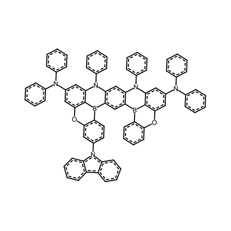 c1ccc(N(c2ccccc2)c2cc3c4c(c2)N(c2ccccc2)c2cc5c(cc2B4c2ccccc2O3)B2c3ccc(-n4c6ccccc6c6ccccc64)cc3Oc3cc(N(c4ccccc4)c4ccccc4)cc(c32)N5c2ccccc2)cc1